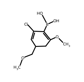 COCC1C=C(Cl)C(B(O)O)=C(OC)C1